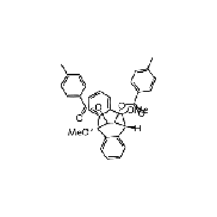 COC1c2ccccc2[C@]2(OC)c3ccccc3[C@@H]1C(OC(=O)c1ccc(C)cc1)C2OC(=O)c1ccc(C)cc1